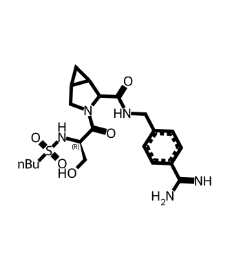 CCCCS(=O)(=O)N[C@H](CO)C(=O)N1CC2CC2C1C(=O)NCc1ccc(C(=N)N)cc1